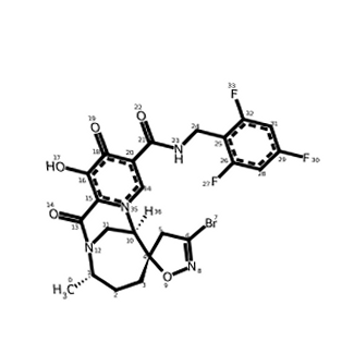 C[C@H]1CC[C@]2(CC(Br)=NO2)[C@H]2CN1C(=O)c1c(O)c(=O)c(C(=O)NCc3c(F)cc(F)cc3F)cn12